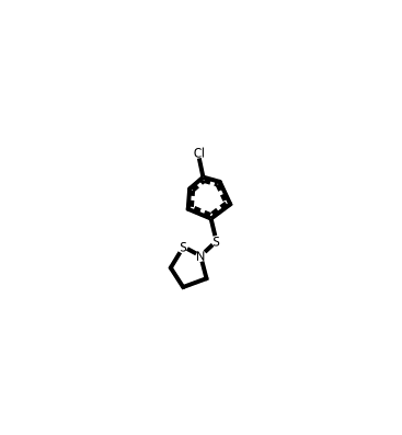 Clc1ccc(SN2CCCS2)cc1